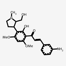 COc1cc(OC)c(C2CCN(C)C2CO)c(O)c1C(=O)C=Cc1cccc(N)c1